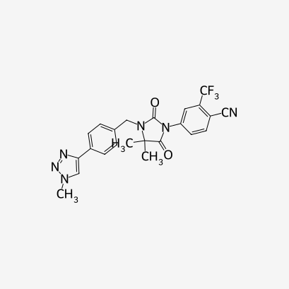 Cn1cc(-c2ccc(CN3C(=O)N(c4ccc(C#N)c(C(F)(F)F)c4)C(=O)C3(C)C)cc2)nn1